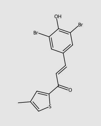 Cc1csc(C(=O)C=Cc2cc(Br)c(O)c(Br)c2)c1